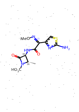 CO/N=C(\C(=O)N[C@@H]1C(=O)N(C(=O)O)[C@H]1C)c1csc(N)n1